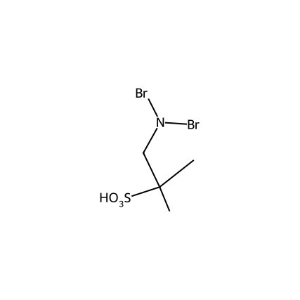 CC(C)(CN(Br)Br)S(=O)(=O)O